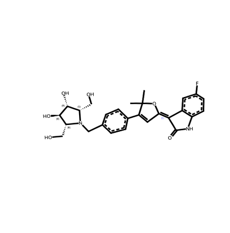 CC1(C)O/C(=C2/C(=O)Nc3ccc(F)cc32)C=C1c1ccc(CN2[C@H](CO)[C@@H](O)[C@H](O)[C@@H]2CO)cc1